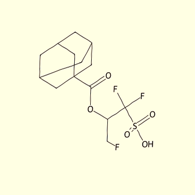 O=C(OC(CF)C(F)(F)S(=O)(=O)O)C12CC3CC(CC(C3)C1)C2